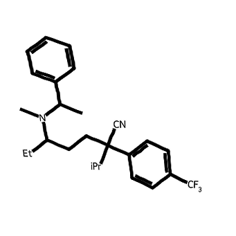 CCC(CCC(C#N)(c1ccc(C(F)(F)F)cc1)C(C)C)N(C)C(C)c1ccccc1